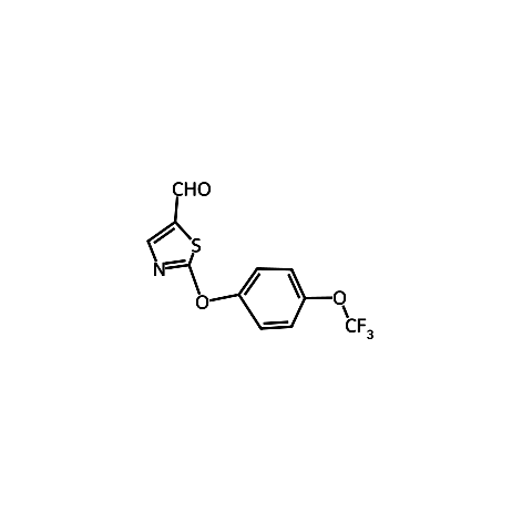 O=Cc1cnc(Oc2ccc(OC(F)(F)F)cc2)s1